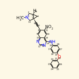 CN1C[C@@H]2C[C@]2(C#Cc2cc3ncnc(Nc4ccc(Oc5ccccc5)cc4)c3cc2[N+](=O)[O-])C1